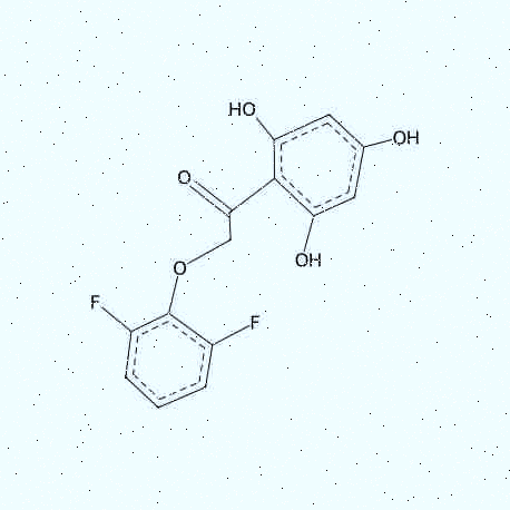 O=C(COc1c(F)cccc1F)c1c(O)cc(O)cc1O